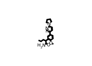 CCCC(C(N)=O)c1cc(-c2ccc(N3CCCC3)nn2)ccc1OC